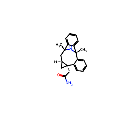 C[C@]12N[C@](C)(C[C@@H]3C[C@]3(CC(N)=O)c3ccccc31)c1ccccc12